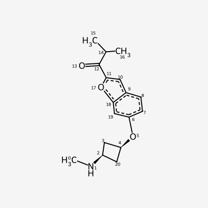 CN[C@H]1C[C@@H](Oc2ccc3cc(C(=O)C(C)C)oc3c2)C1